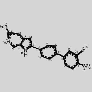 Nc1ccc(-c2ccc(-c3cc4cc(O)ncc4[nH]3)cc2)cc1F